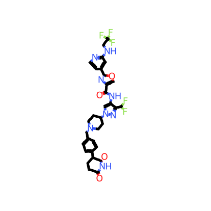 O=C1CCC(c2ccc(CN3CCC(n4cc(NC(=O)c5coc(-c6ccnc(NCC(F)(F)F)c6)n5)c(C(F)F)n4)CC3)cc2)C(=O)N1